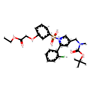 CCOC(=O)COc1cccc(S(=O)(=O)n2cc(CN(C)C(=O)OC(C)(C)C)cc2-c2ccccc2F)c1